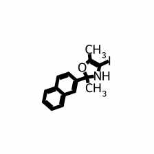 CC1=C(I)NC(C)(c2ccc3ccccc3c2)O1